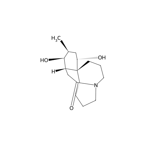 C[C@H]1C[C@H](O)[C@]23CCCN4CCC[C@@]42C(=O)C[C@@H]3[C@H]1O